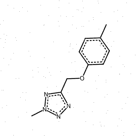 Cc1ccc(OCc2nnn(C)n2)cc1